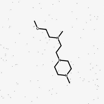 COCCN(C)CCN1CCN(C)CC1